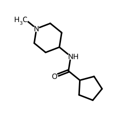 CN1CCC(NC(=O)C2CCCC2)CC1